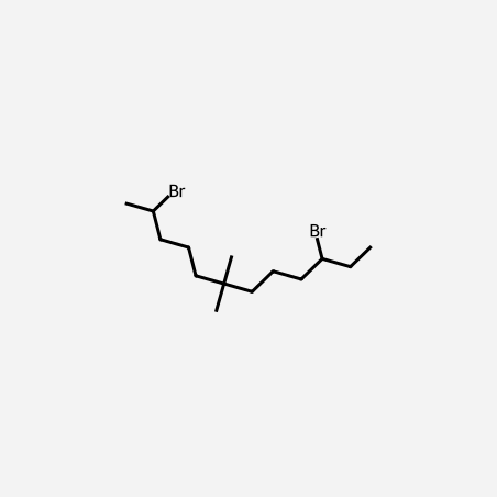 CCC(Br)CCCC(C)(C)CCCC(C)Br